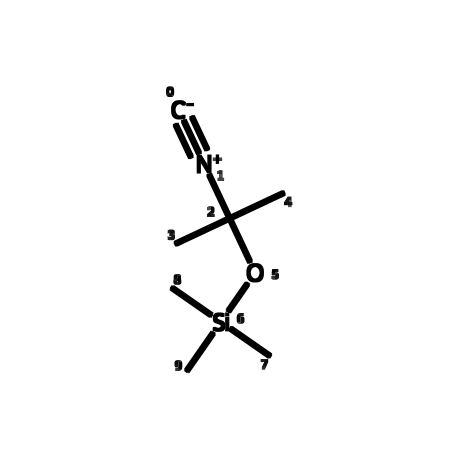 [C-]#[N+]C(C)(C)O[Si](C)(C)C